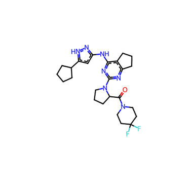 O=C(C1CCCN1c1nc2c(c(Nc3cc(C4CCCC4)[nH]n3)n1)CCC2)N1CCC(F)(F)CC1